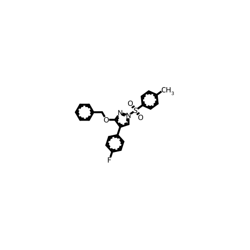 Cc1ccc(S(=O)(=O)n2cc(-c3ccc(F)cc3)c(OCc3ccccc3)n2)cc1